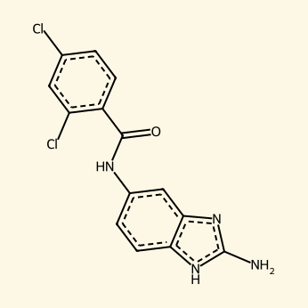 Nc1nc2cc(NC(=O)c3ccc(Cl)cc3Cl)ccc2[nH]1